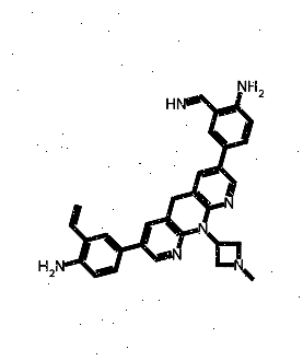 C=Cc1cc(-c2cnc3c(c2)Cc2cc(-c4ccc(N)c(C=N)c4)cnc2N3C2CN(C)C2)ccc1N